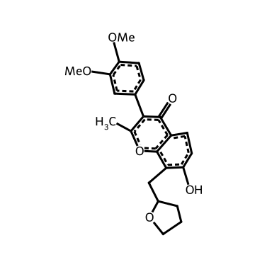 COc1ccc(-c2c(C)oc3c(CC4CCCO4)c(O)ccc3c2=O)cc1OC